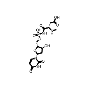 CN[C@@H](CC(=O)O)C(=O)NP(=O)(O)OC[C@H]1O[C@@H](n2ccc(=O)[nH]c2=O)C[C@@H]1O